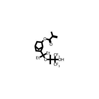 C=C(C)C(=O)OC1CC2CC1C(C(CC)(CC)OC(C)(C)C(O)(C(F)(F)F)C(F)(F)F)C2